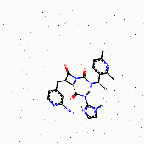 CC[C@H](NC(=O)N1C(=O)[C@H](Cc2ccnc(N)c2)[C@H]1C(=O)N(C)c1nccn1C)c1ccc(C)nc1C